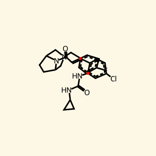 O=C(Nc1cc(Cl)ccc1C=CC(=O)N1C2CCC1CN(Cc1ccc(F)cc1)C2)NC1CC1